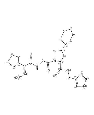 O=C(O)N[C@H](C(=O)NCC(=O)N1C[C@H](C2CCCCC2)C[C@H]1C(=O)NCc1nn[nH]n1)C1CCCC1